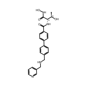 C[C@@H](O)[C@H](NC(=O)c1ccc(-c2ccc(CNCc3cccnc3)cc2)cc1)C(=O)NO